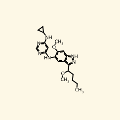 CCCCC(OC)c1n[nH]c2cc(OC)c(Nc3cc(NC4CC4)ncn3)cc12